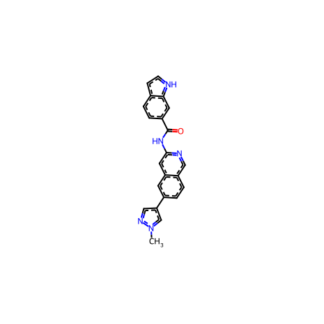 Cn1cc(-c2ccc3cnc(NC(=O)c4ccc5cc[nH]c5c4)cc3c2)cn1